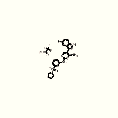 Nc1nc(Nc2cccc(S(=O)(=O)N3CCCC3)c2)ncc1-c1n[nH]c2ccc(F)cc12.O=C(O)C(F)(F)F